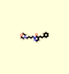 O=c1c(/C=C/c2ccccc2)ccnn1CCCCN1CCOCC1